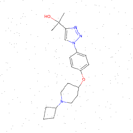 CC(C)(O)c1cn(-c2ccc(OC3CCN(C4CCC4)CC3)cc2)nn1